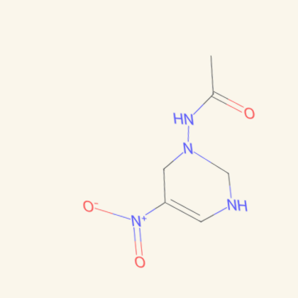 CC(=O)NN1CNC=C([N+](=O)[O-])C1